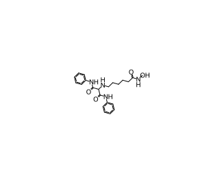 O=C(CCCCCNC(C(=O)Nc1ccccc1)C(=O)Nc1ccccc1)NO